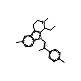 CCC1c2c(c3cc(C)ccc3n2/C=C(\C)c2ccc(C)cc2)CCN1C